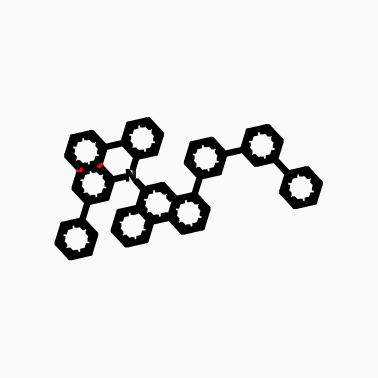 c1ccc(-c2cccc(-c3cccc(-c4cccc5c4cc(N(c4cccc(-c6ccccc6)c4)c4ccccc4-c4ccccc4)c4ccccc45)c3)c2)cc1